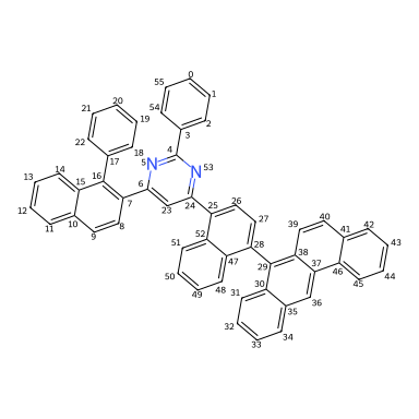 c1ccc(-c2nc(-c3ccc4ccccc4c3-c3ccccc3)cc(-c3ccc(-c4c5ccccc5cc5c4ccc4ccccc45)c4ccccc34)n2)cc1